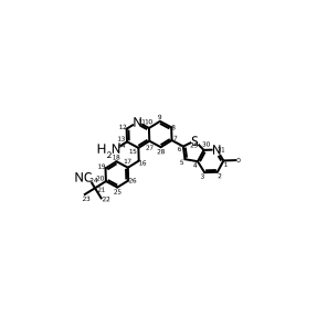 Cc1ccc2cc(-c3ccc4ncc(N)c(Cc5ccc(C(C)(C)C#N)cc5)c4c3)sc2n1